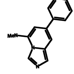 CNc1cc(-c2ccccc2)cc2cncn12